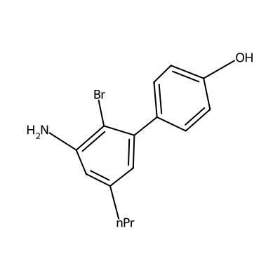 CCCc1cc(N)c(Br)c(-c2ccc(O)cc2)c1